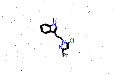 CC(C)c1cc(Cl)n(CCc2c[nH]c3ccccc23)n1